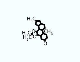 CC1=CC2CCC3C(C2C1)C1OC(C)(C)OC1C1CC(=O)CCC13C